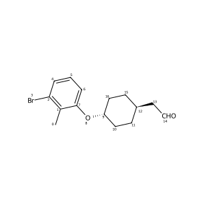 Cc1c(Br)cccc1O[C@H]1CC[C@H](CC=O)CC1